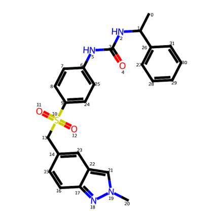 CC(NC(=O)Nc1ccc(S(=O)(=O)Cc2ccc3nn(C)cc3c2)cc1)c1ccccc1